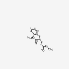 O=C(CCC(Cc1ccccc1)C(=O)OO)OO